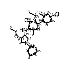 CCO[C@@H]1CN(c2ccccn2)C[C@H]1Nc1c(C)nc(-c2ccc(Cl)cc2Cl)n(CC)c1=O